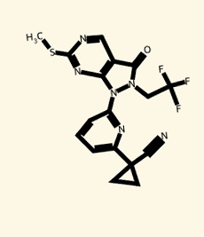 CSc1ncc2c(=O)n(CC(F)(F)F)n(-c3cccc(C4(C#N)CC4)n3)c2n1